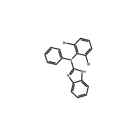 Brc1cccc(Br)c1N(c1ccccc1)c1nc2ccccc2[nH]1